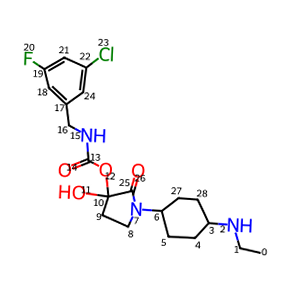 CCNC1CCC(N2CCC(O)(OC(=O)NCc3cc(F)cc(Cl)c3)C2=O)CC1